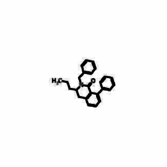 CCCC1Cc2cccc(-c3ccccc3)c2C(=O)N1Cc1ccccc1